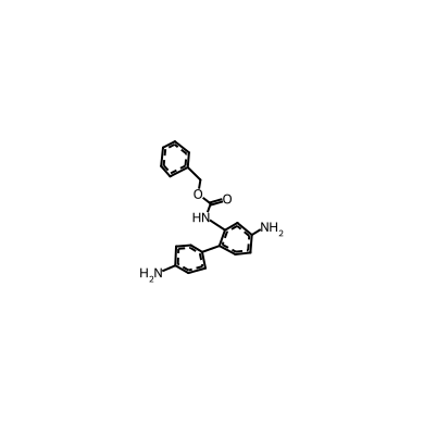 Nc1ccc(-c2ccc(N)cc2NC(=O)OCc2ccccc2)cc1